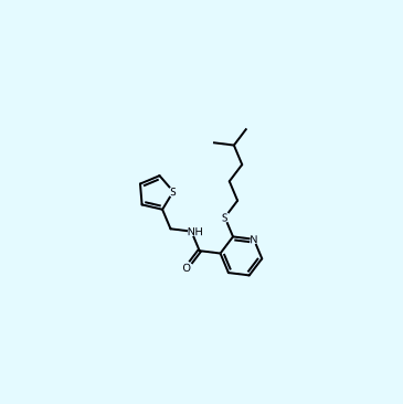 CC(C)CCCSc1ncccc1C(=O)NCc1cccs1